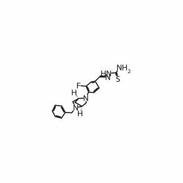 NC(=S)NN=Cc1ccc(N2C[C@@H]3C[C@H]2CN3Cc2ccccc2)c(F)c1